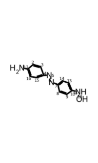 Nc1ccc(N=Nc2ccc(NO)cc2)cc1